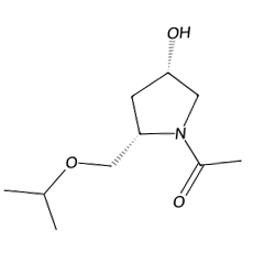 CC(=O)N1C[C@@H](O)C[C@H]1COC(C)C